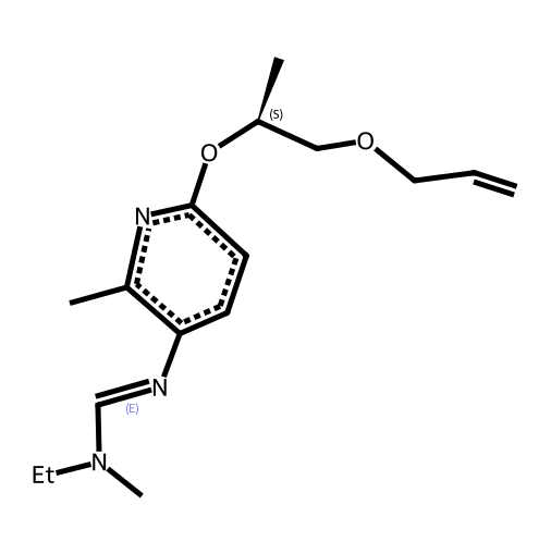 C=CCOC[C@H](C)Oc1ccc(/N=C/N(C)CC)c(C)n1